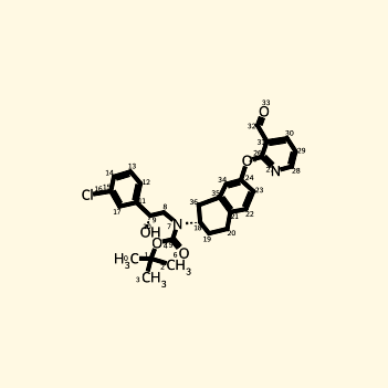 CC(C)(C)OC(=O)N(C[C@H](O)c1cccc(Cl)c1)[C@H]1CCc2ccc(Oc3ncccc3C=O)cc2C1